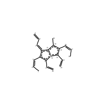 C=C/C=c1/c(/C=C\C)c(C=C)n2c(C=C)c(/C=C\C)c(C)c12